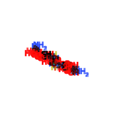 CC(C)(COP(=O)(O)OP(=O)(O)OC[C@H]1O[C@@H](n2cnc3c(N)ncnc32)[C@H](O)[C@@H]1OP(=O)(O)O)C(O)C(=O)NCCC(=O)NCC[SH](C(=O)C1C(=O)CCCC1O)[SH](CCNC(=O)CCNC(=O)C(O)C(C)(C)COP(=O)(O)OP(=O)(O)OC[C@H]1O[C@@H](n2cnc3c(N)ncnc32)[C@H](O)[C@@H]1OP(=O)(O)O)C(=O)C1C(=O)CCCC1O